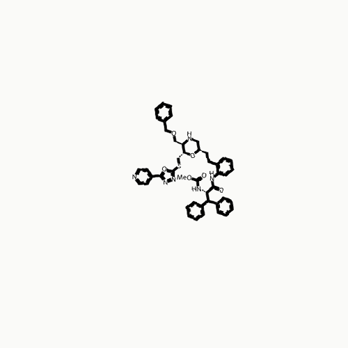 COC(=O)N[C@H](C(=O)Nc1ccccc1CC[C@@H]1CN[C@H](COCc2ccccc2)[C@@H](CSc2nnc(-c3ccncc3)o2)O1)C(c1ccccc1)c1ccccc1